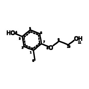 Cc1cc(O)ccc1OCCO